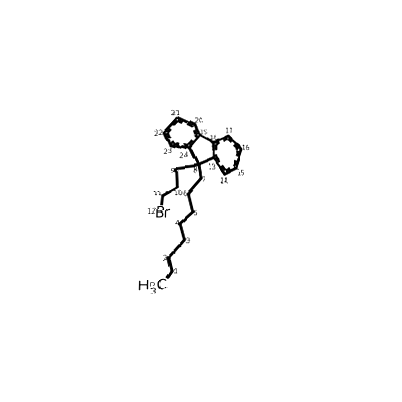 CCCCCCCCC1(CCCBr)c2ccccc2-c2ccccc21